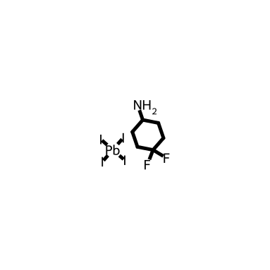 NC1CCC(F)(F)CC1.[I][Pb]([I])([I])[I]